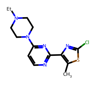 CCN1CCN(c2ccnc(-c3nc(Cl)sc3C)n2)CC1